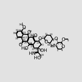 CO[C@H]1OCCN[C@@H]1O[C@H]1CC[C@H](O[C@H]2C[C@](O)(C(=N)CO)Cc3c(O)c4c(c(O)c32)C(=O)c2c(OI)cccc2C4=O)O[C@H]1C